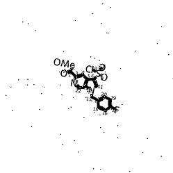 COC(=O)c1cc2c(S(=O)(=O)Cl)cn(Cc3ccc(F)cc3)c2cn1